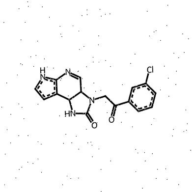 O=C(CN1C(=O)NC2c3cc[nH]c3N=CC21)c1cccc(Cl)c1